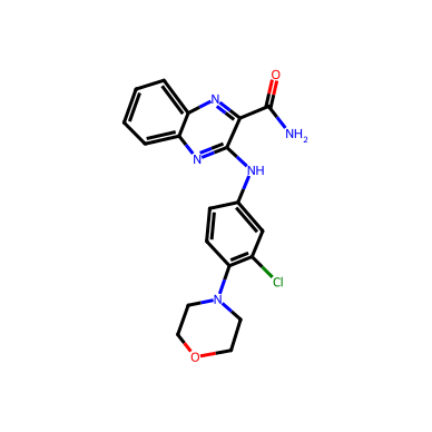 NC(=O)c1nc2ccccc2nc1Nc1ccc(N2CCOCC2)c(Cl)c1